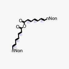 CCCCCCCCC/C=C/C=C/C=C/C(=O)OC(=O)/C=C/C=C/C=C/CCCCCCCCC